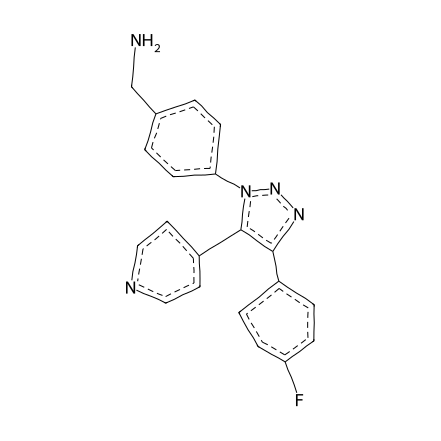 NCc1ccc(-n2nnc(-c3ccc(F)cc3)c2-c2ccncc2)cc1